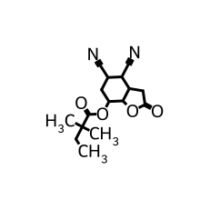 CCC(C)(C)C(=O)OC1CC(C#N)C(C#N)C2CC(=O)OC12